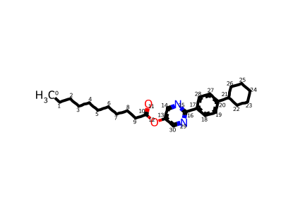 CCCCCCCCCCC(=O)Oc1cnc(-c2ccc(C3CCCCC3)cc2)nc1